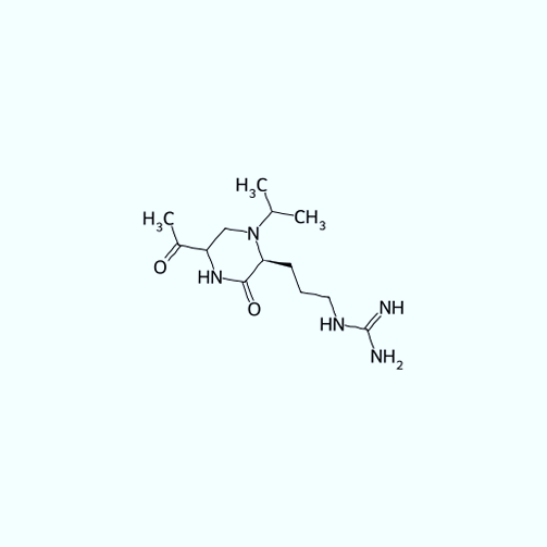 CC(=O)C1CN(C(C)C)[C@@H](CCCNC(=N)N)C(=O)N1